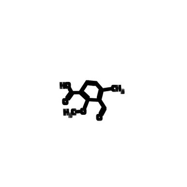 COc1c(C(=O)O)ccc(C)c1C=O